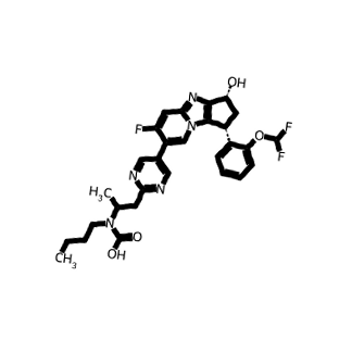 CCCCN(C(=O)O)C(C)Cc1ncc(-c2cn3c4c(nc3cc2F)[C@H](O)C[C@@H]4c2ccccc2OC(F)F)cn1